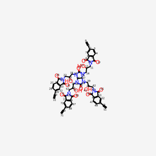 C#Cc1ccc2c(c1)C(=O)N(CC(O)CN1C(=O)N(CC(O)CN3C(=O)c4ccc(C#C)cc4C3=O)C3C1N(CC(O)CN1C(=O)c4ccc(C#C)cc4C1=O)C(=O)N3CC(O)CN1C(=O)c3ccc(C#C)cc3C1=O)C2=O